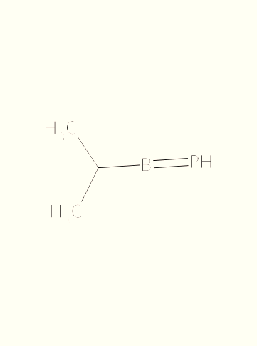 CC(C)B=P